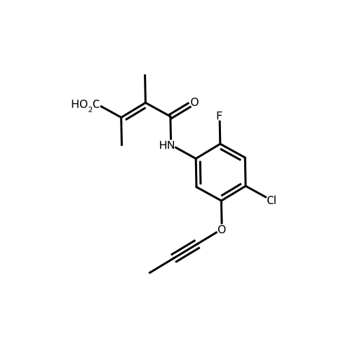 CC#COc1cc(NC(=O)C(C)=C(C)C(=O)O)c(F)cc1Cl